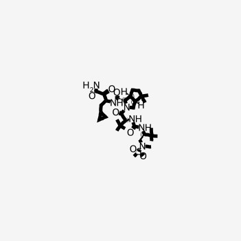 CN(C[C@@H](NC(=O)N[C@H](C(=O)N1C[C@H]2[C@H](CCC2(C)C)[C@H]1C(=O)NC(CC1CC1)C(=O)C(N)=O)C(C)(C)C)C(C)(C)C)S(C)(=O)=O